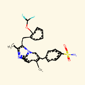 Cc1cc2nc(C)c(Cc3ccccc3OC(F)F)n2cc1-c1ccc(S(N)(=O)=O)cc1